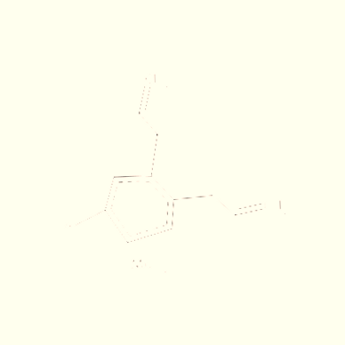 C=CCc1ccc(Br)cc1CC=C.[MgH2]